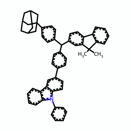 CC1(C)c2ccccc2-c2ccc(C(c3ccc(-c4ccc5c(c4)c4ccccc4n5-c4ccccc4)cc3)c3ccc(C45CC6CC(CC(C6)C4)C5)cc3)cc21